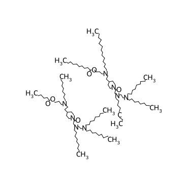 CCCCCCCCCCCCCCN(CCCOC(=O)CCCCCCCCC)CCC1CCN(C(=O)CN(CCCCCCCCC)CCN(CCCCCCCCC)CCCCCCCCC)CC1.CCCCCCCCCN(CCCOC(=O)CCCCC)CCC1CCN(C(=O)CN(CCCCCCCCC)CCN(CCCCCCCCC)CCCCCCCCC)CC1